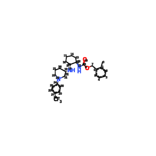 Cc1ccccc1COC(=O)N[C@@H]1CCCC[C@H]1N[C@H]1CCCN(c2ccc(C(F)(F)F)cc2)C1